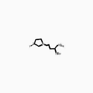 CCCCC(CCCC)CCN1CC[C@H](F)C1